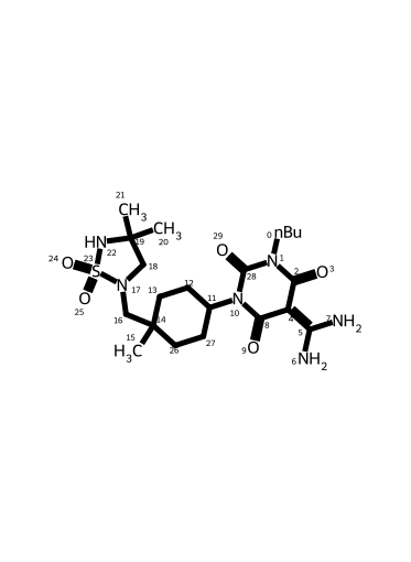 CCCCN1C(=O)C(=C(N)N)C(=O)N(C2CCC(C)(CN3CC(C)(C)NS3(=O)=O)CC2)C1=O